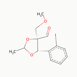 COC[C@@]1(C=O)OC(C)O[C@H]1c1ccccc1I